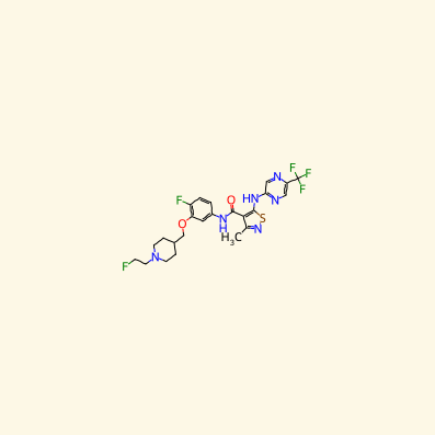 Cc1nsc(Nc2cnc(C(F)(F)F)cn2)c1C(=O)Nc1ccc(F)c(OCC2CCN(CCF)CC2)c1